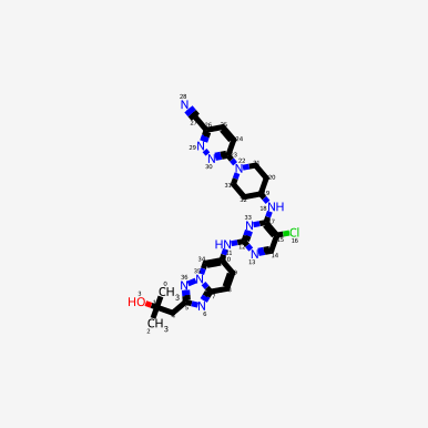 CC(C)(O)Cc1nc2ccc(Nc3ncc(Cl)c(NC4CCN(c5ccc(C#N)nn5)CC4)n3)cn2n1